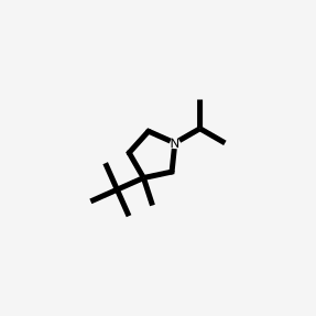 CC(C)N1CCC(C)(C(C)(C)C)C1